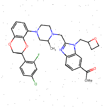 COC(=O)c1ccc2nc(CN3CCN(c4cccc5c4OC(c4ccc(Cl)cc4F)CO5)CC3C)n(CC3CCO3)c2c1